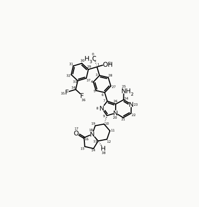 C[C@](O)(c1ccc(-c2nc([C@@H]3CC[C@H]4CCC(=O)N4C3)n3ccnc(N)c23)cc1)c1cccc(C(F)F)c1